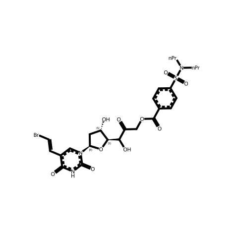 CCCN(CCC)S(=O)(=O)c1ccc(C(=O)OCC(=O)C(O)[C@H]2O[C@@H](n3cc(C=CBr)c(=O)[nH]c3=O)C[C@@H]2O)cc1